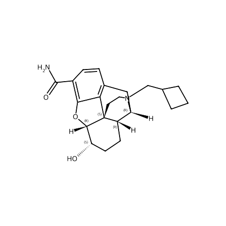 NC(=O)c1ccc2c3c1O[C@H]1[C@@H](O)CC[C@H]4[C@@H](C2)N(CC2CCC2)CC[C@@]341